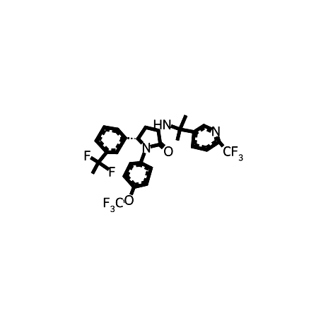 CC(F)(F)c1cccc([C@@H]2C[C@H](NC(C)(C)c3ccc(C(F)(F)F)nc3)C(=O)N2c2ccc(OC(F)(F)F)cc2)c1